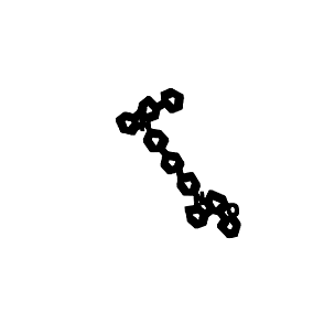 c1ccc(-c2ccc3c4ccccc4n(-c4ccc(-c5ccc(-c6ccc(-n7c8ccccc8c8c9c(ccc87)oc7ccccc79)cc6)cc5)cc4)c3c2)cc1